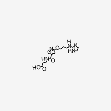 O=C(O)CCNC(=O)c1cc(OCCCNC2N=CCN2)no1